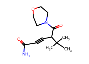 CC(C)(C)C(C#CC(N)=O)C(=O)N1CCOCC1